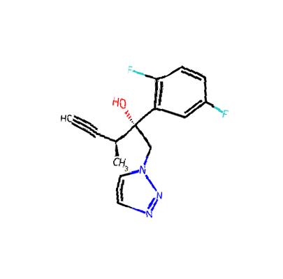 C#C[C@H](C)[C@](O)(Cn1ccnn1)c1cc(F)ccc1F